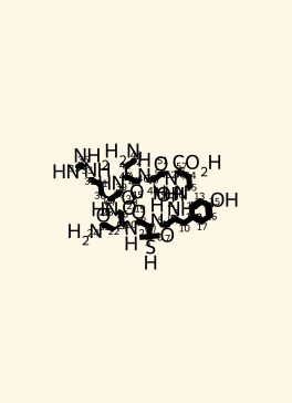 CC(C)(S)[C@H](NC(=O)[C@@H](N)Cc1ccc(O)cc1)C(=O)N[C@@H](CC(N)=O)C(=O)N[C@@H](CCCNC(=N)N)C(=O)N[C@@H](CCN)C(=O)N[C@@H](CO)C(=O)N[C@H](CCN)C(=O)O